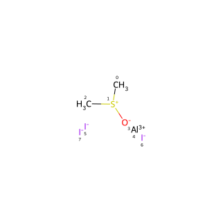 C[S+](C)[O-].[Al+3].[I-].[I-].[I-]